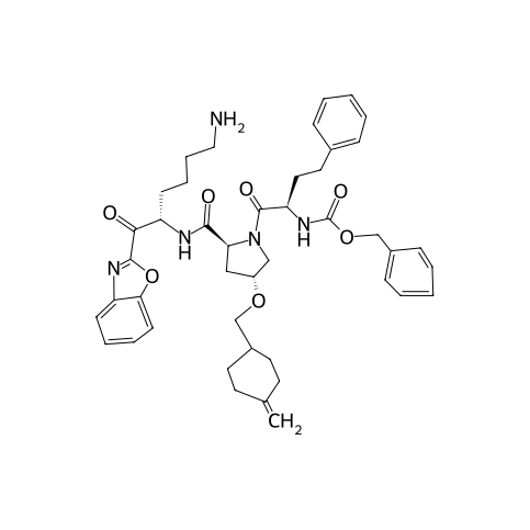 C=C1CCC(CO[C@@H]2C[C@@H](C(=O)N[C@@H](CCCCN)C(=O)c3nc4ccccc4o3)N(C(=O)[C@@H](CCc3ccccc3)NC(=O)OCc3ccccc3)C2)CC1